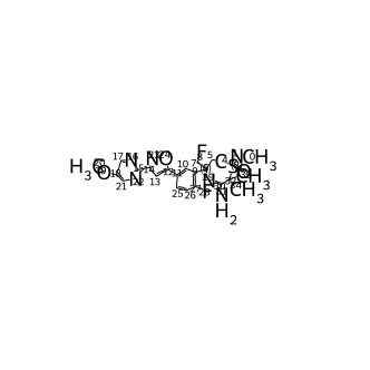 CN=[S@]1(=O)CC[C@@](CF)(c2cc(-c3cc(-c4ncc(OC)cn4)no3)ccc2F)N=C(N)C1(C)C